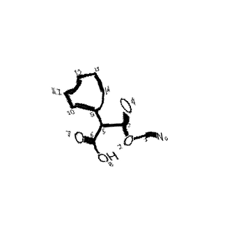 N#COC(=O)C(C(=O)O)c1ccccc1